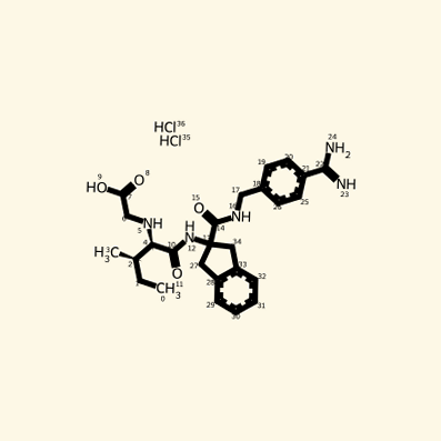 CC[C@@H](C)[C@@H](NCC(=O)O)C(=O)NC1(C(=O)NCc2ccc(C(=N)N)cc2)Cc2ccccc2C1.Cl.Cl